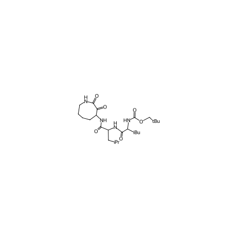 CCC(C)C(NC(=O)OCC(C)(C)C)C(=O)NC(CC(C)C)C(=O)NC1CCCCNC(=O)C1=O